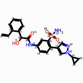 C=Cc1ccccc1C(O)C(=O)Nc1ccc(-c2cnn(C3CC3)c2)c(S(N)(=O)=O)c1